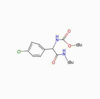 CC(C)(C)NC(=O)C(NC(=O)OC(C)(C)C)c1ccc(Cl)cc1